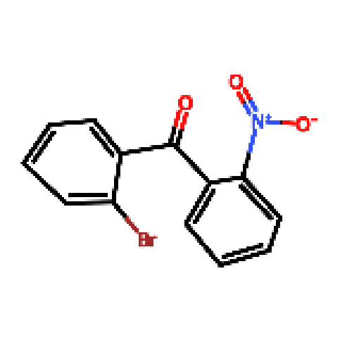 O=C(c1ccccc1Br)c1ccccc1[N+](=O)[O-]